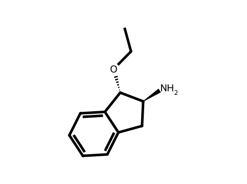 CCO[C@H]1c2ccccc2C[C@@H]1N